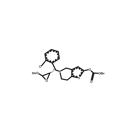 COC1OC1[C@H](c1ccccc1Cl)N1CCc2sc(OC(=O)OCC(C)C)cc2C1